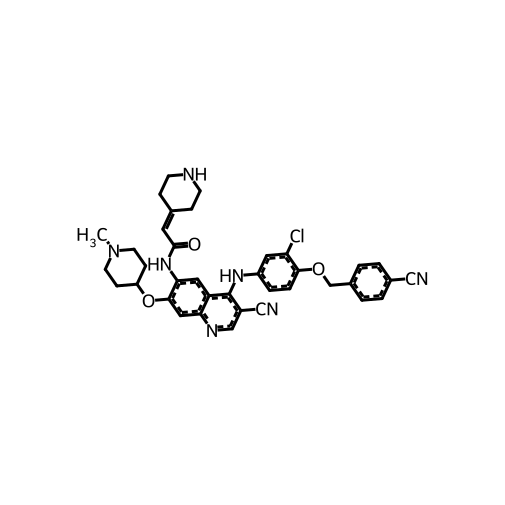 CN1CCC(Oc2cc3ncc(C#N)c(Nc4ccc(OCc5ccc(C#N)cc5)c(Cl)c4)c3cc2NC(=O)C=C2CCNCC2)CC1